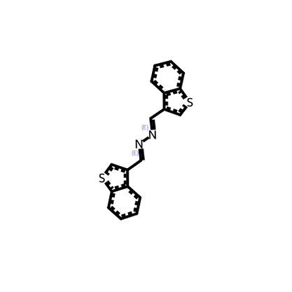 C(=N\N=C\c1csc2ccccc12)/c1csc2ccccc12